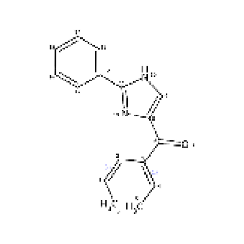 C/C=C\C(=C/C)C(=O)c1c[nH]c(-c2ccccc2)n1